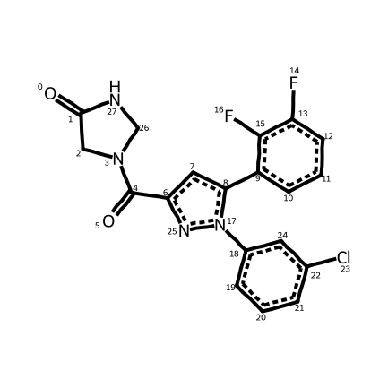 O=C1CN(C(=O)c2cc(-c3cccc(F)c3F)n(-c3cccc(Cl)c3)n2)CN1